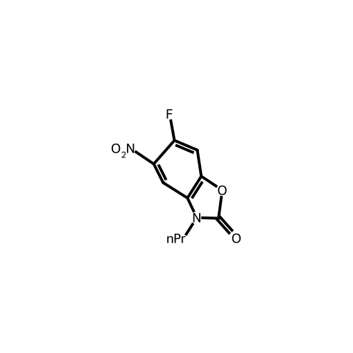 CCCn1c(=O)oc2cc(F)c([N+](=O)[O-])cc21